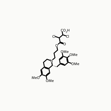 COc1cc2c(cc1OC)[C@@H](Cc1cc(OC)c(OC)c(OC)c1)N(CCCOC(=O)C(Cl)C(Cl)C(=O)O)CC2